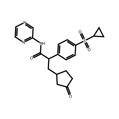 O=C1CCC(CC(C(=O)Nc2cnccn2)c2ccc(S(=O)(=O)C3CC3)cc2)C1